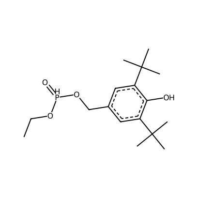 CCO[PH](=O)OCc1cc(C(C)(C)C)c(O)c(C(C)(C)C)c1